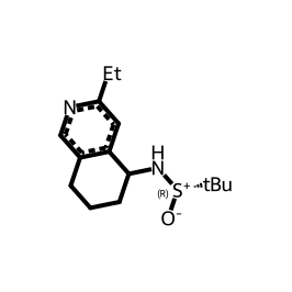 CCc1cc2c(cn1)CCCC2N[S@@+]([O-])C(C)(C)C